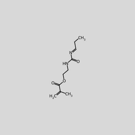 C=C(C)C(=O)OCCNC(=O)N=CCC